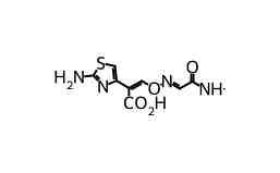 [NH]C(=O)C=NOC=C(C(=O)O)c1csc(N)n1